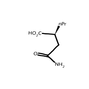 CCC[C@@H](CC(N)=O)C(=O)O